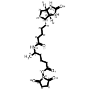 CC(CCCC(=O)ON1C(=O)CCC1=O)NC(=O)CCCC[C@@H]1SC[C@@H]2NC(=O)N[C@@H]21